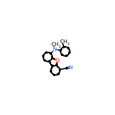 Cc1ccccc1N(C)c1cccc2c1oc1c(C#N)cccc12